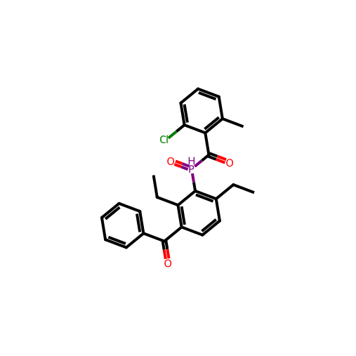 CCc1ccc(C(=O)c2ccccc2)c(CC)c1[PH](=O)C(=O)c1c(C)cccc1Cl